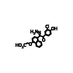 N/N=C(/C(=O)c1ccc(O)c(Cl)c1)c1ccc(OCC(=O)O)c2ccccc12